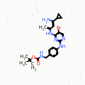 C=C(/C=C(\N)C1CC1)Nc1nc(Nc2ccc(CNC(=O)OC(C)(C)C)cc2)ncc1Br